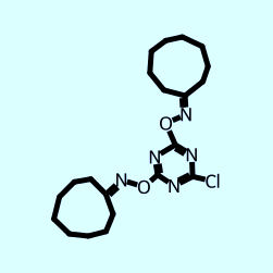 Clc1nc(ON=C2CCCCCCCC2)nc(ON=C2CCCCCCCC2)n1